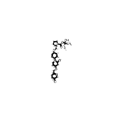 CC(C)(C)OC(=O)N1CCC[C@@H]1COc1ccc(-n2ccc(OCc3ccc(Cl)cn3)cc2=O)cc1